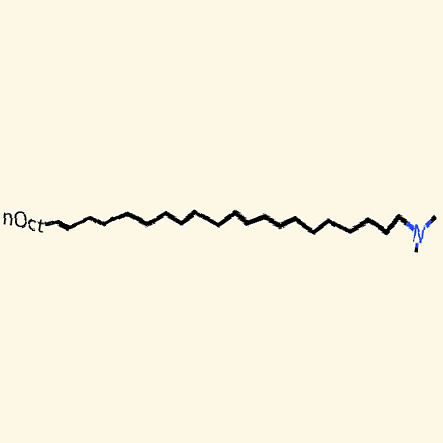 CCCCCCCCC=CCCCCCCCCCCCCCCCCCCCN(C)C